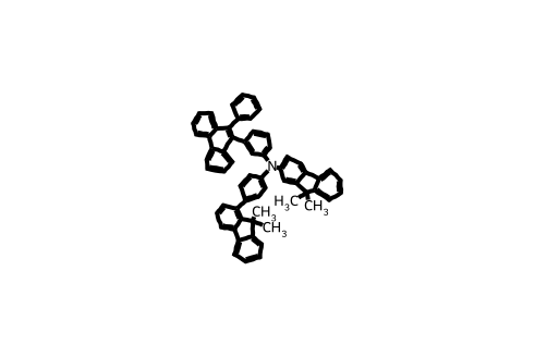 CC1(C)c2ccccc2-c2ccc(N(c3ccc(-c4cccc5c4C(C)(C)c4ccccc4-5)cc3)c3cccc(-c4c(-c5ccccc5)c5ccccc5c5ccccc45)c3)cc21